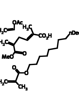 C=C(C)C(=O)OCCCCCCCCCCCCCCCCCC.C=C(CC=C(C)C(=O)O)C(=O)OC.C=COC(C)=O